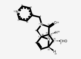 O=C[C@@H]1[C@@H]2C=C[C@@]3(CN(Cc4ccncc4)C(=O)[C@@H]13)O2